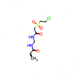 C=CC(=O)NCNC(=O)CS(=O)(=O)CCCl